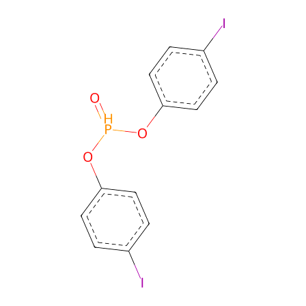 O=[PH](Oc1ccc(I)cc1)Oc1ccc(I)cc1